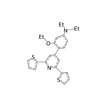 CCOc1cc(N(CC)CC)ccc1-c1cc(-c2cccs2)nc(-c2cccs2)c1